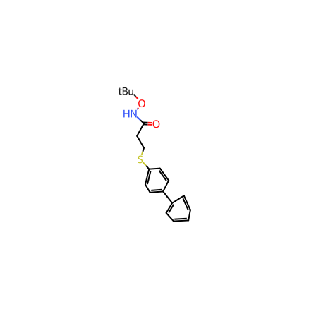 CC(C)(C)ONC(=O)CCSc1ccc(-c2ccccc2)cc1